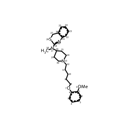 COc1ccccc1OCCCCCN1CCC(N(C)C2=Nc3ccccc3CS2)CC1